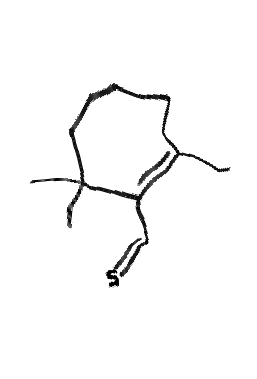 CC1=C(C=S)C(C)(C)CCC1